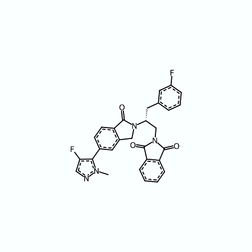 Cn1ncc(F)c1-c1ccc2c(c1)CN([C@H](Cc1cccc(F)c1)CN1C(=O)c3ccccc3C1=O)C2=O